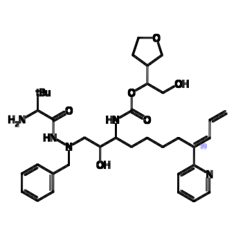 C=C/C=C(\CCCCC(NC(=O)OC(CO)C1CCOC1)C(O)CN(Cc1ccccc1)NC(=O)C(N)C(C)(C)C)c1ccccn1